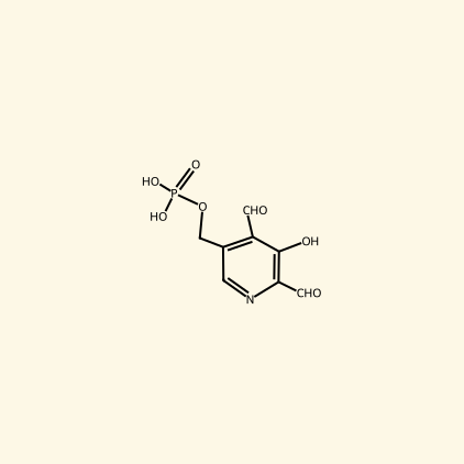 O=Cc1ncc(COP(=O)(O)O)c(C=O)c1O